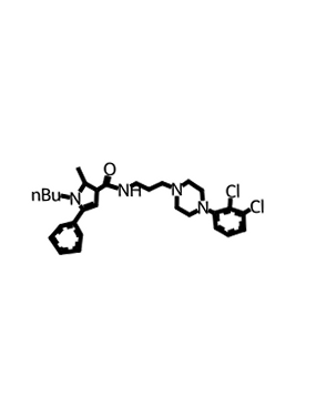 CCCCN1C(c2ccccc2)=CC(C(=O)NCCCN2CCN(c3cccc(Cl)c3Cl)CC2)C1C